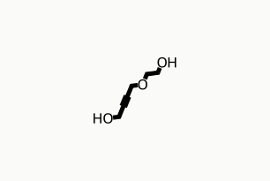 OCC#CCOCCO